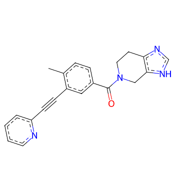 Cc1ccc(C(=O)N2CCc3nc[nH]c3C2)cc1C#Cc1ccccn1